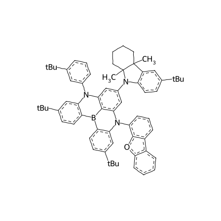 CC(C)(C)c1cccc(N2c3cc(C(C)(C)C)ccc3B3c4ccc(C(C)(C)C)cc4N(c4cccc5c4oc4ccccc45)c4cc(N5c6ccc(C(C)(C)C)cc6C6(C)CCCCC56C)cc2c43)c1